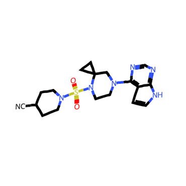 N#CC1CCN(S(=O)(=O)N2CCN(c3ncnc4[nH]ccc34)CC23CC3)CC1